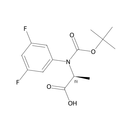 C[C@@H](C(=O)O)N(C(=O)OC(C)(C)C)c1cc(F)cc(F)c1